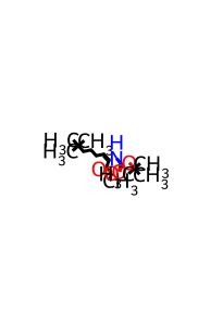 COC(=O)/C(=C\CCCC(C)(C)C)NC(=O)OC(C)(C)C